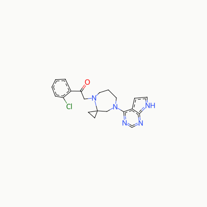 O=C(CN1CCCN(c2ncnc3[nH]ccc23)CC12CC2)c1ccccc1Cl